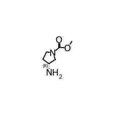 COC(=O)N1CC[C@@H](N)C1